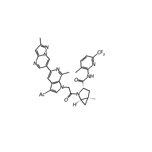 CC(=O)c1cn(CC(=O)N2[C@H](C(=O)Nc3nc(C(F)(F)F)ccc3C)C[C@@]3(C)C[C@@H]23)c2c(C)nc(-c3cnc4cc(C)nn4c3)cc12